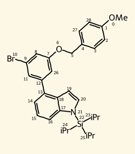 COc1ccc(COc2cc(Br)cc(-c3cccc4c3ccn4[Si](C(C)C)(C(C)C)C(C)C)c2)cc1